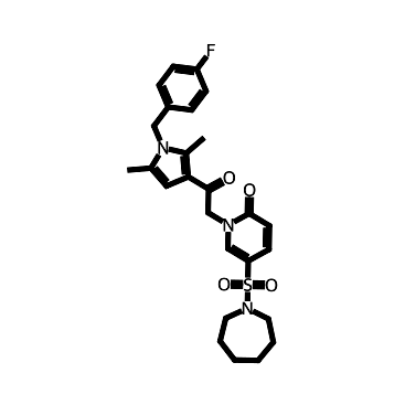 Cc1cc(C(=O)Cn2cc(S(=O)(=O)N3CCCCCC3)ccc2=O)c(C)n1Cc1ccc(F)cc1